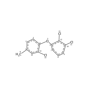 Cc1ccc(Oc2cccc(Cl)c2Cl)c(Cl)c1